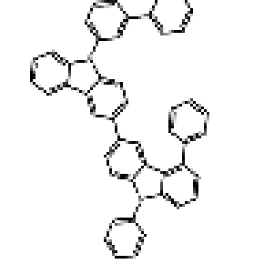 c1ccc(-c2cccc(-n3c4ccccc4c4cc(-c5ccc6c(c5)c5c(-c7ccccc7)cccc5n6-c5ccccc5)ccc43)c2)cc1